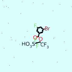 O=C(OC(C(F)(F)F)C(F)(F)S(=O)(=O)O)c1cc(F)cc(Br)c1